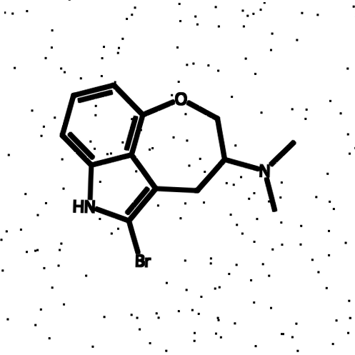 CN(C)C1COc2cccc3[nH]c(Br)c(c23)C1